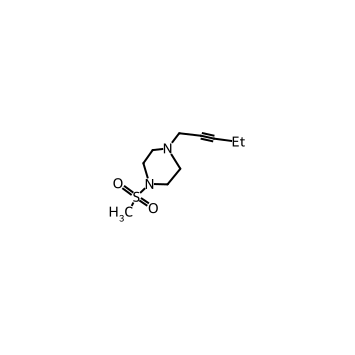 CCC#CCN1CCN(S(C)(=O)=O)CC1